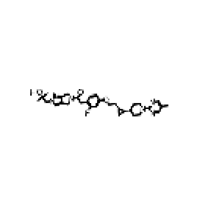 Cc1cnc(N2CCC([C@H]3C[C@H]3CCOc3ccc(CC(=O)N4Cc5cn(CC(C)(C)O)nc5C4)c(F)c3)CC2)nc1